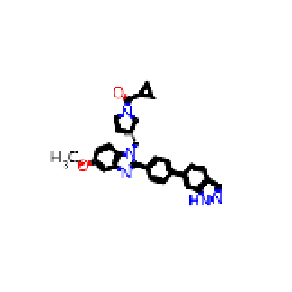 COc1ccc2c(c1)nc(-c1ccc(-c3ccc4cn[nH]c4c3)cc1)n2C[C@@H]1CCN(C(=O)C2CC2)C1